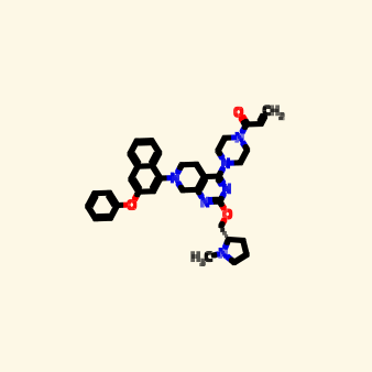 C=CC(=O)N1CCN(c2nc(OC[C@@H]3CCCN3C)nc3c2CCN(c2cc(Oc4ccccc4)cc4ccccc24)C3)CC1